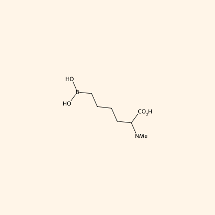 CNC(CCCCB(O)O)C(=O)O